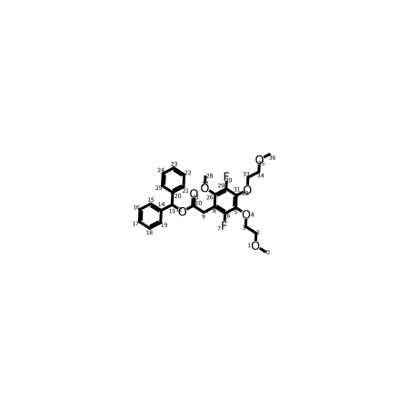 COCCOc1c(F)c([CH]C(=O)OC(c2ccccc2)c2ccccc2)c(OC)c(F)c1OCCOC